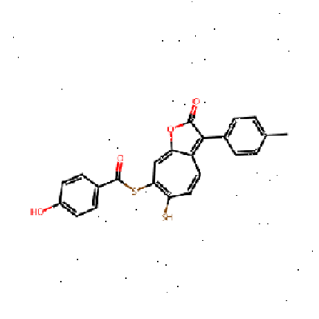 Cc1ccc(-c2c3ccc(S)c(SC(=O)c4ccc(O)cc4)cc-3oc2=O)cc1